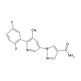 N#Cc1cc(-n2cc(C(N)=O)cn2)cnc1-c1cc(F)ccc1F